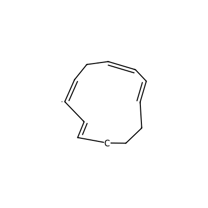 [C]1=C\C/C=C\C=C\CCC/C=C/1